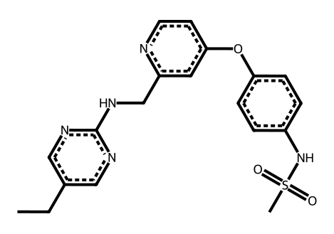 CCc1cnc(NCc2cc(Oc3ccc(NS(C)(=O)=O)cc3)ccn2)nc1